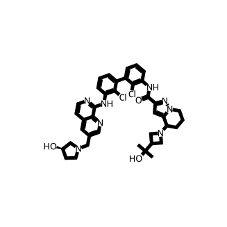 CC(C)(O)C1CN(C2CCCn3nc(C(=O)Nc4cccc(-c5cccc(Nc6nccc7cc(CN8CC[C@@H](O)C8)cnc67)c5Cl)c4Cl)cc32)C1